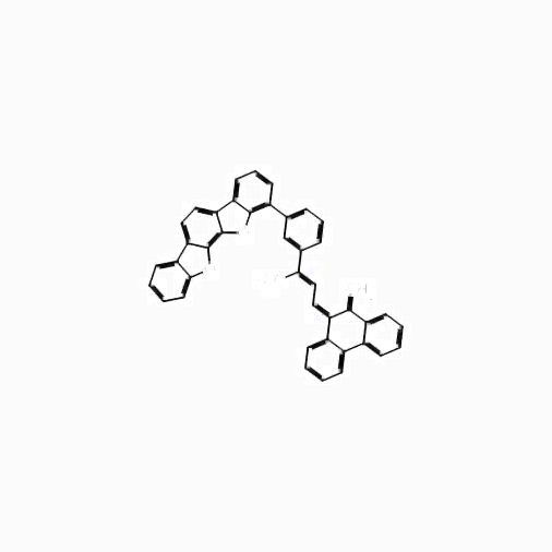 C=c1/c(=C\C=C(/C)c2cccc(-c3cccc4c3oc3c4ccc4c5ccccc5oc43)c2)c2ccccc2c2ccccc12